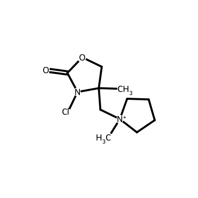 CC1(C[N+]2(C)CCCC2)COC(=O)N1Cl